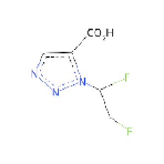 O=C(O)c1cnnn1C(F)CF